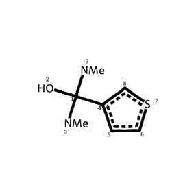 CNC(O)(NC)c1ccsc1